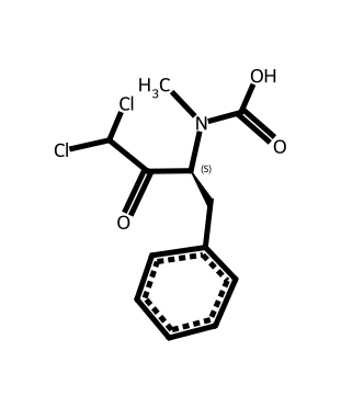 CN(C(=O)O)[C@@H](Cc1ccccc1)C(=O)C(Cl)Cl